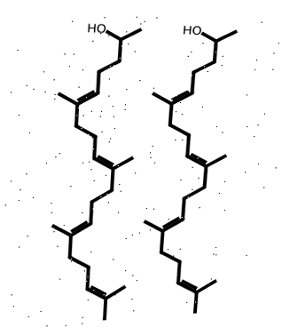 CC(C)=CCCC(C)=CCCC(C)=CCCC(C)=CCCC(C)O.CC(C)=CCCC(C)=CCCC(C)=CCCC(C)=CCCC(C)O